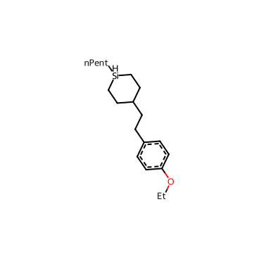 CCCCC[SiH]1CCC(CCc2ccc(OCC)cc2)CC1